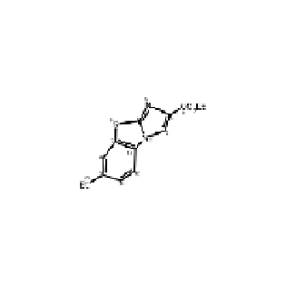 CCOC(=O)c1cn2c(n1)sc1cc(CC)ccc12